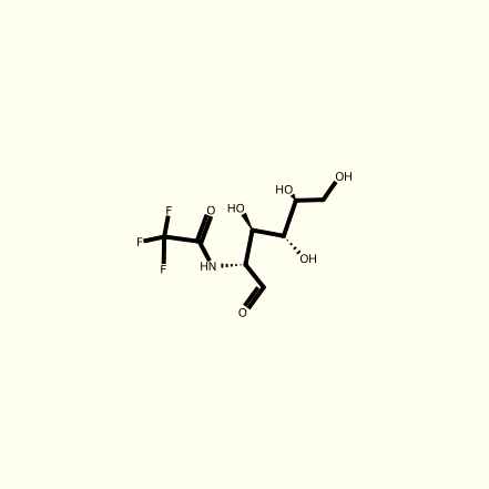 O=C[C@H](NC(=O)C(F)(F)F)[C@@H](O)[C@@H](O)[C@H](O)CO